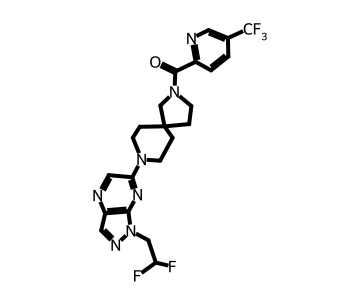 O=C(c1ccc(C(F)(F)F)cn1)N1CCC2(CCN(c3cnc4cnn(CC(F)F)c4n3)CC2)C1